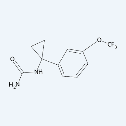 NC(=O)NC1(c2cccc(OC(F)(F)F)c2)CC1